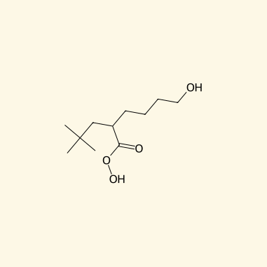 CC(C)(C)CC(CCCCO)C(=O)OO